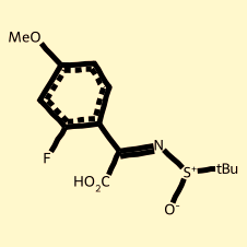 COc1ccc(C(=N[S+]([O-])C(C)(C)C)C(=O)O)c(F)c1